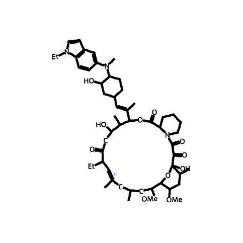 CCC1/C=C(\C)CC(C)CC(OC)C2OC(O)(C(=O)C(=O)N3CCCCC3C(=O)OC(C(C)=CC3CCC(N(C)c4ccc5c(ccn5CC)c4)C(O)C3)C(C)C(O)CC1=O)C(C)CC2OC